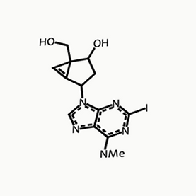 CNc1nc(I)nc2c1ncn2C1CC(O)C2(CO)C=C12